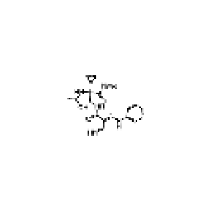 CNC(=O)C(CNC(=O)/C(C=N)=N/Nc1ccccc1)(NC(C)O)C1CC1